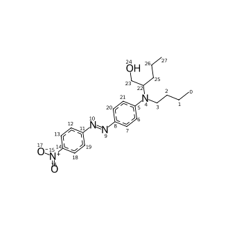 CCCCN(c1ccc(/N=N/c2ccc([N+](=O)[O-])cc2)cc1)C(CO)CCC